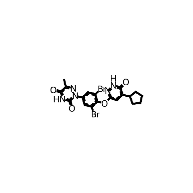 Cc1nn(-c2cc(Br)c(Oc3cc(C4CCCC4)c(=O)[nH]n3)c(Br)c2)c(=O)[nH]c1=O